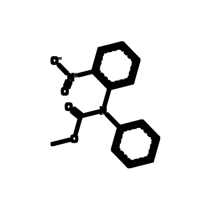 COC(=O)N(c1ccccc1)c1ccccc1[N+](=O)[O-]